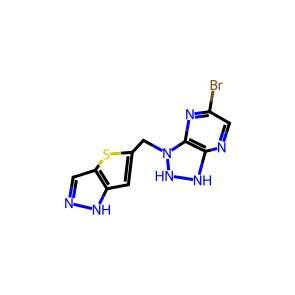 Brc1cnc2c(n1)N(Cc1cc3[nH]ncc3s1)NN2